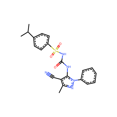 Cc1nn(-c2ccccc2)c(NC(=O)NS(=O)(=O)c2ccc(C(C)C)cc2)c1C#N